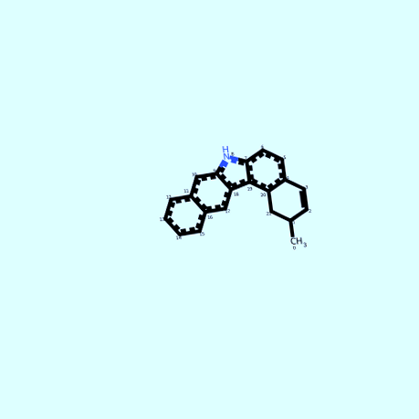 CC1C=Cc2ccc3[nH]c4cc5ccccc5cc4c3c2C1